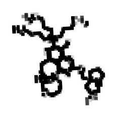 CCC[CH2][Sn]([CH2]CCC)([CH2]CCC)[c]1nc2c3c(nc(OC[C@@]45CCCN4C[C@H](F)C5)nc3c1F)N1CCCOC[C@@H]1CC2